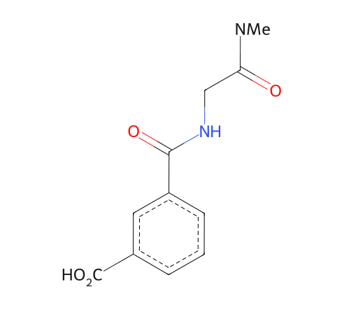 CNC(=O)CNC(=O)c1cccc(C(=O)O)c1